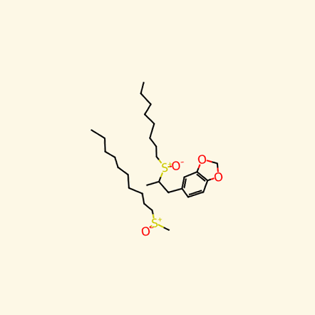 CCCCCCCCCC[S+](C)[O-].CCCCCCCC[S+]([O-])C(C)Cc1ccc2c(c1)OCO2